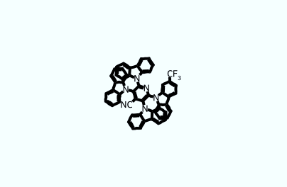 N#Cc1c(-n2c3ccccc3c3ccccc32)c(-n2c3ccccc3c3ccccc32)nc(-n2c3ccccc3c3ccc(C(F)(F)F)cc32)c1-n1c2ccccc2c2ccccc21